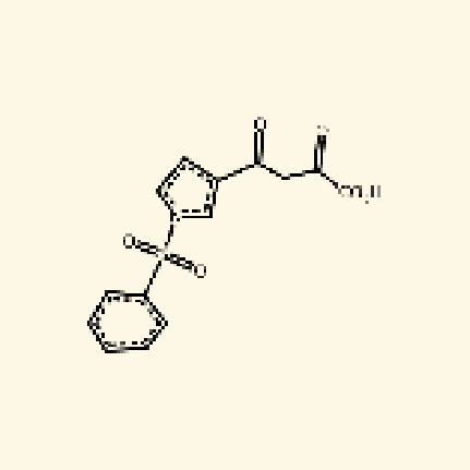 O=C(O)C(=O)CC(=O)c1ccn(S(=O)(=O)c2ccccc2)c1